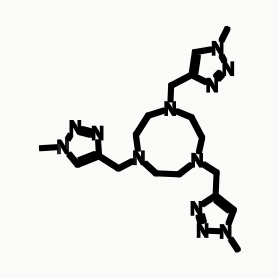 Cn1cc(CN2CCN(Cc3cn(C)nn3)CCN(Cc3cn(C)nn3)CC2)nn1